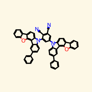 N#Cc1cc(-n2c3ccc(-c4ccccc4)cc3c3c4oc5ccccc5c4ccc32)cc(-n2c3ccc(-c4ccccc4)cc3c3c4oc5ccccc5c4ccc32)c1C#N